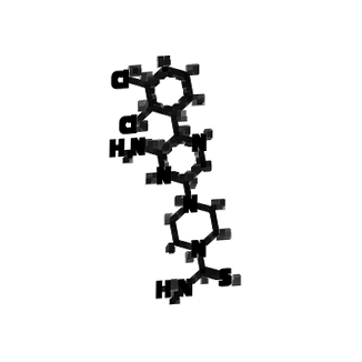 NC(=S)N1CCN(c2cnc(-c3cccc(Cl)c3Cl)c(N)n2)CC1